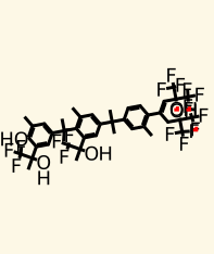 Cc1cc(C(C)(C)c2cc(C)c(C(C)(C)c3cc(C)c(O)c(C(C)(O)C(F)(F)F)c3)c(C(C)(O)C(F)(F)F)c2)ccc1/C(=C/C(O)(C(F)(F)F)C(F)(F)F)CC(O)(C(F)(F)F)C(F)(F)F